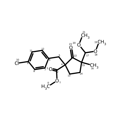 COC(=O)C1(Cc2ccc(Cl)cc2)CCC(C)(C(OC)OC)C1=O